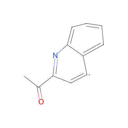 CC(=O)c1c[c]c2ccccc2n1